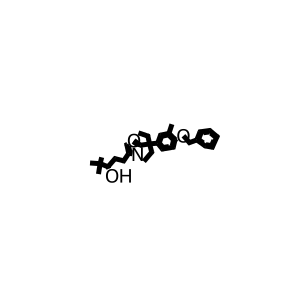 CCC(CC)(c1ccc(OCc2ccccc2)c(C)c1)c1nc(CCC(O)C(C)(C)C)co1